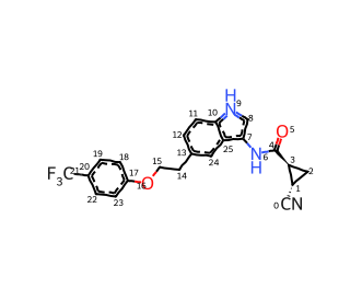 N#C[C@H]1C[C@@H]1C(=O)Nc1c[nH]c2ccc(CCOc3ccc(C(F)(F)F)cc3)cc12